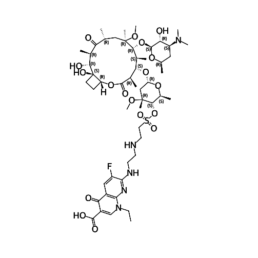 CCn1cc(C(=O)O)c(=O)c2cc(F)c(NCCNCCS(=O)(=O)O[C@H]3[C@H](C)O[C@@H](O[C@H]4[C@H](C)[C@@H](O[C@@H]5O[C@H](C)C[C@H](N(C)C)[C@H]5O)[C@](C)(OC)C[C@@H](C)C(=O)[C@H](C)[C@@H](O)[C@@]5(O)CC[C@H]5OC(=O)[C@@H]4C)C[C@@]3(C)OC)nc21